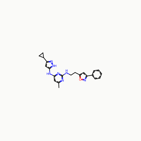 Cc1cc(Nc2cc(C3CC3)n[nH]2)nc(NCCc2cc(-c3ccccc3)no2)n1